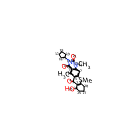 CSC1=C(C(=O)c2ccc3c(c2C)c(=O)n(C2CCCC2)c(=O)n3C)C(O)CCC1